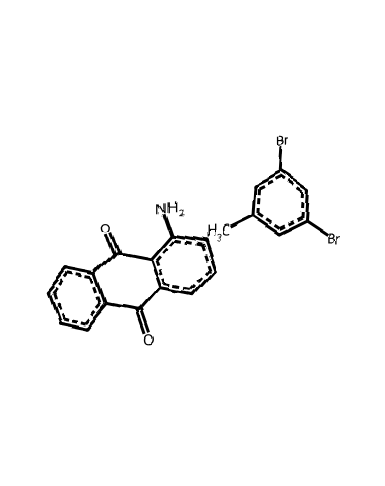 Cc1cc(Br)cc(Br)c1.Nc1cccc2c1C(=O)c1ccccc1C2=O